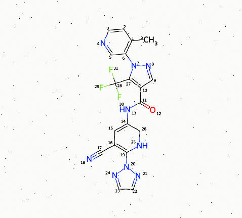 Cc1ccncc1-n1ncc(C(=O)NC2=CC(C#N)=C(n3nccn3)NC2)c1C(F)(F)F